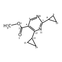 COC(=O)c1cnc(C2CC2)nc1C1CC1